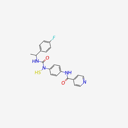 CC(NC(=O)N(S)c1ccc(NC(=O)c2ccncc2)cc1)c1ccc(F)cc1